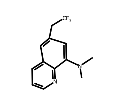 CN(C)c1cc(CC(F)(F)F)cc2cccnc12